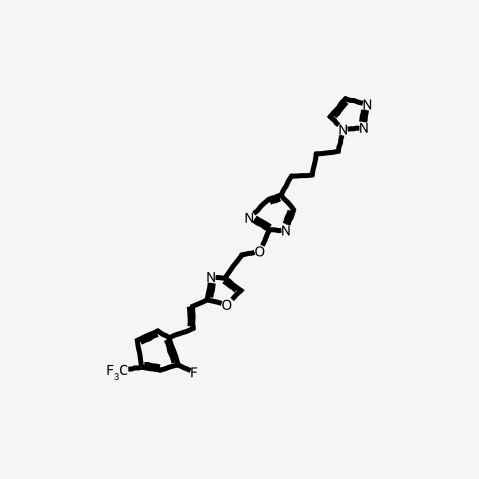 Fc1cc(C(F)(F)F)ccc1C=Cc1nc(COc2ncc(CCCCn3ccnn3)cn2)co1